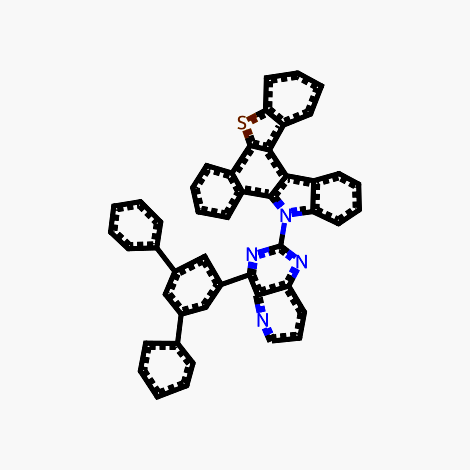 c1ccc(-c2cc(-c3ccccc3)cc(-c3nc(-n4c5ccccc5c5c6c7ccccc7sc6c6ccccc6c54)nc4cccnc34)c2)cc1